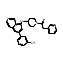 N#Cc1cccc(-c2cc(NC3CCN(C(=O)Cc4cccnc4)CC3)c3cnccc3c2)c1